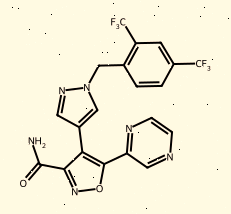 NC(=O)c1noc(-c2cnccn2)c1-c1cnn(Cc2ccc(C(F)(F)F)cc2C(F)(F)F)c1